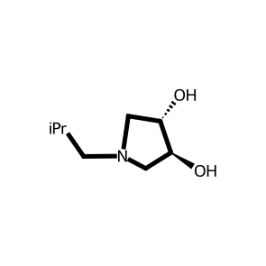 CC(C)CN1C[C@H](O)[C@@H](O)C1